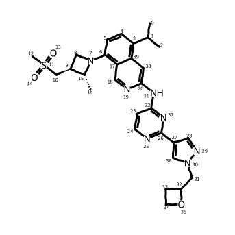 CC(C)c1ccc(N2C[C@H](CS(C)(=O)=O)[C@H]2C)c2cnc(Nc3ccnc(-c4cnn(CC5CCO5)c4)n3)cc12